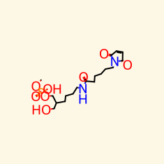 COP(=O)(O)OCC(CO)CCCCNC(=O)CCCCCN1C(=O)C=CC1=O